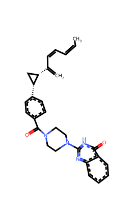 C=C(/C=C\C=C/C)[C@H]1C[C@H]1c1ccc(C(=O)N2CCN(c3nc4ccccc4c(=O)[nH]3)CC2)cc1